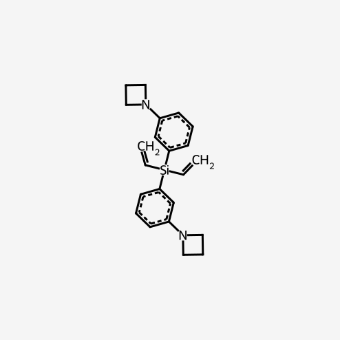 C=C[Si](C=C)(c1cccc(N2CCC2)c1)c1cccc(N2CCC2)c1